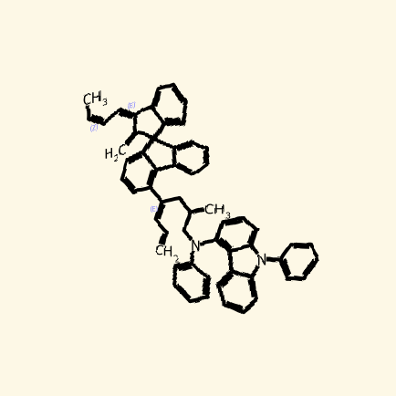 C=C/C=C(\CC(C)CN(c1ccccc1)c1cccc2c1c1ccccc1n2-c1ccccc1)c1cccc2c1-c1ccccc1C21C(=C)/C(=C\C=C/C)c2ccccc21